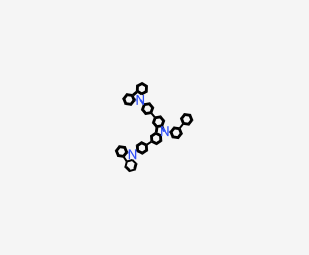 C1=CC2c3ccccc3N(c3ccc(-c4ccc5c(c4)c4cc(-c6ccc(-n7c8ccccc8c8ccccc87)cc6)ccc4n5-c4cccc(-c5ccccc5)c4)cc3)C2C=C1